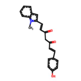 Cn1c(/C=C/C(=O)CC(=O)/C=C/c2ccc(O)cc2)cc2ccccc21